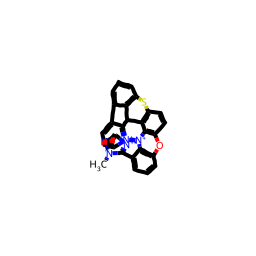 Cn1c2[n+](c3ccncc31)[N+]13c4c(cccc4-2)Oc2ccc4c(c21)C1c2c(cccc2-c2ccc[n+]3c21)S4